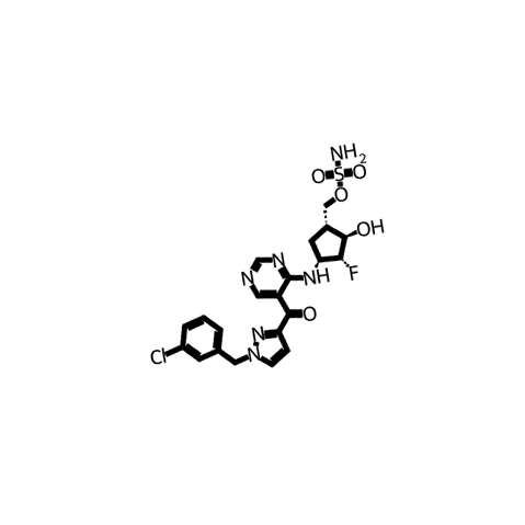 NS(=O)(=O)OC[C@H]1C[C@@H](Nc2ncncc2C(=O)c2ccn(Cc3cccc(Cl)c3)n2)[C@@H](F)[C@@H]1O